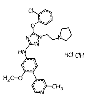 COc1cc(Nc2nc(Oc3ccccc3Cl)n(CCN3CCCC3)n2)ccc1-c1ccnc(C)c1.Cl.Cl